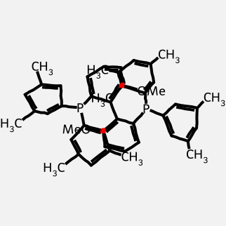 COc1cccc(P(c2cc(C)cc(C)c2)c2cc(C)cc(C)c2)c1-c1c(OC)cccc1P(c1cc(C)cc(C)c1)c1cc(C)cc(C)c1C